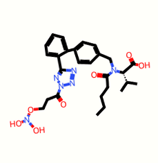 CCCCC(=O)N(Cc1ccc(-c2ccccc2-c2nnn(C(=O)CCON(O)O)n2)cc1)[C@H](C(=O)O)C(C)C